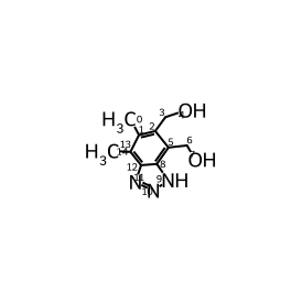 Cc1c(CO)c(CO)c2[nH]nnc2c1C